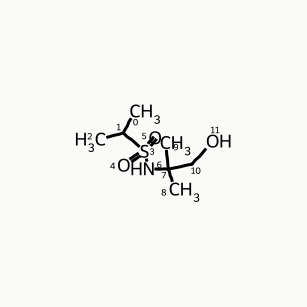 CC(C)S(=O)(=O)NC(C)(C)CO